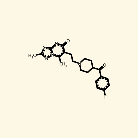 Cc1nn2c(C)c(CCN3CCC(C(=O)c4ccc(F)cc4)CC3)c(=O)nc2s1